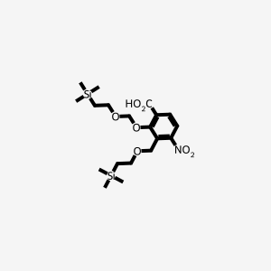 C[Si](C)(C)CCOCOc1c(C(=O)O)ccc([N+](=O)[O-])c1COCC[Si](C)(C)C